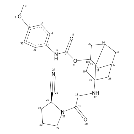 COc1ccc(NC(=O)OC23CC4CC(CC(NCC(=O)N5CCC[C@H]5C#N)(C4)C2)C3)cc1